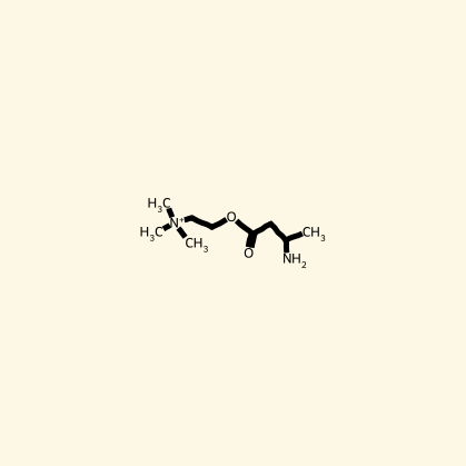 CC(N)CC(=O)OCC[N+](C)(C)C